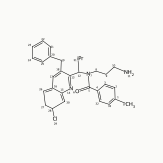 Cc1ccc(C(=O)N(CCCN)C(c2nc3c(cc2Cc2ccccc2)=CCC(Cl)C=3)C(C)C)cc1